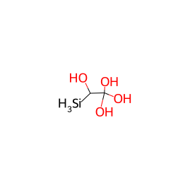 OC([SiH3])C(O)(O)O